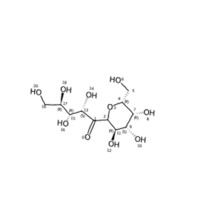 O=C(C1O[C@H](CO)[C@H](O)[C@H](O)[C@H]1O)[C@@H](O)[C@H](O)[C@H](O)CO